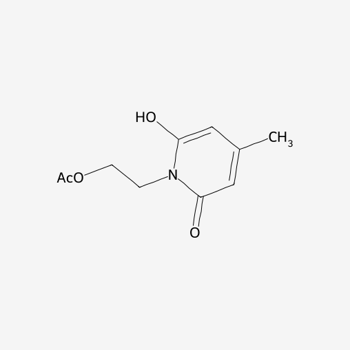 CC(=O)OCCn1c(O)cc(C)cc1=O